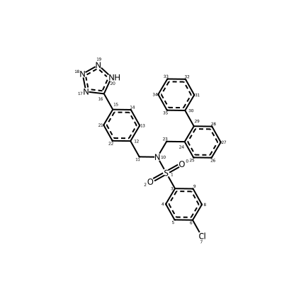 O=S(=O)(c1ccc(Cl)cc1)N(Cc1ccc(-c2nnn[nH]2)cc1)Cc1ccccc1-c1ccccc1